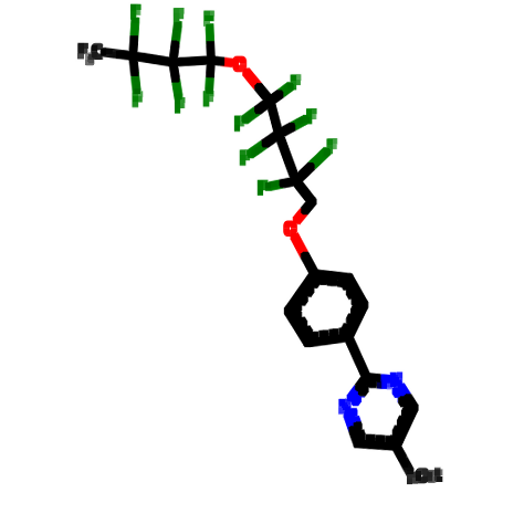 CCCCCCCCc1cnc(-c2ccc(OCC(F)(F)C(F)(F)C(F)(F)OC(F)(F)C(F)(F)C(F)(F)C(F)(F)F)cc2)nc1